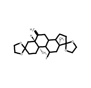 C=C1CC2C3CCC4(OCCO4)[C@@]3(C)CC(F)C2[C@@]2(C)CCC3(C[C@H]12)OCCO3